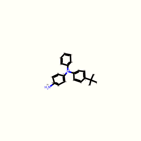 CC(C)(C)c1ccc(N(c2ccccc2)c2ccc(N)cc2)cc1